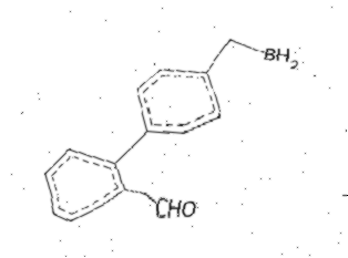 BCc1ccc(-c2ccccc2C=O)cc1